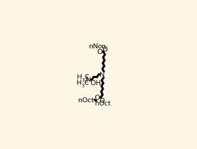 CCCCCCCCCOC(=O)CCCCCCCN(CCCCCCCC(=O)OC(CCCCCCCC)CCCCCCCC)CCCC(O)N(C)C